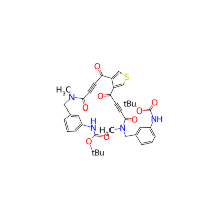 CN(Cc1cccc(NC(=O)OC(C)(C)C)c1)C(=O)C#CC(=O)c1cscc1C(=O)C#CC(=O)N(C)Cc1cccc(NC(=O)OC(C)(C)C)c1